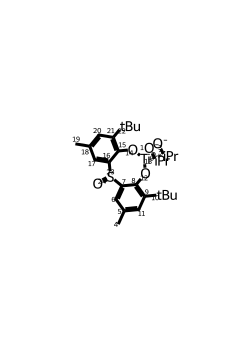 CC(C)[O-].CC(C)[O-].Cc1cc2c(c(C(C)(C)C)c1)[O][Ti+2][O]c1c(cc(C)cc1C(C)(C)C)S2=O